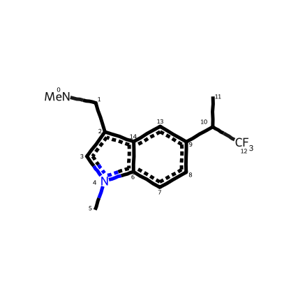 CNCc1cn(C)c2ccc(C(C)C(F)(F)F)cc12